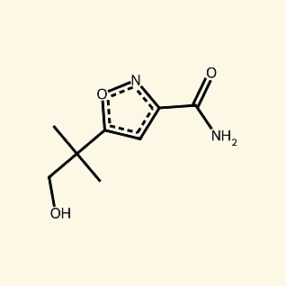 CC(C)(CO)c1cc(C(N)=O)no1